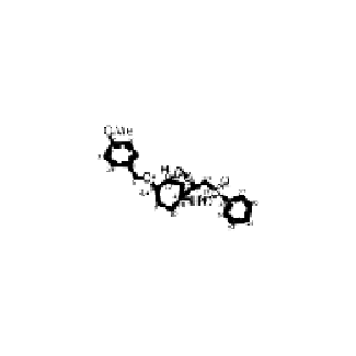 COc1ccc(CO[C@]2(C)CC[C@@H]3C[C@H]2OO[C@@]3(C)CS(=O)(=O)c2ccccc2)cc1